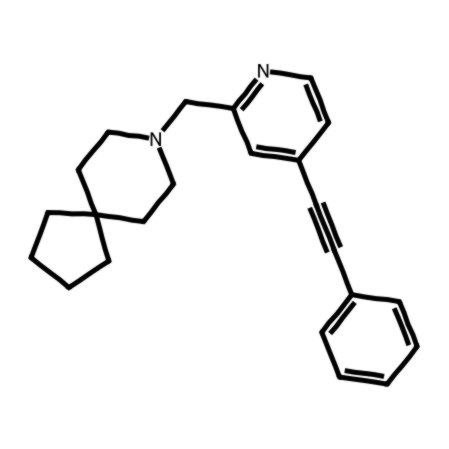 C(#Cc1ccnc(CN2CCC3(CCCC3)CC2)c1)c1ccccc1